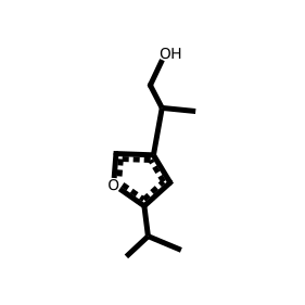 CC(C)c1cc(C(C)CO)co1